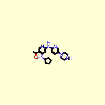 CC(=O)c1cnc(Nc2ccc(N3CCNCC3)cn2)cc1NC1CCCC1